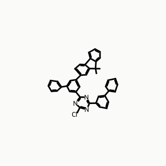 CC1(C)c2ccccc2-c2ccc(-c3cc(-c4ccccc4)cc(-c4nc(Cl)nc(-c5cccc(-c6ccccc6)c5)n4)c3)cc21